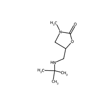 CN1CC(CNC(C)(C)C)OC1=O